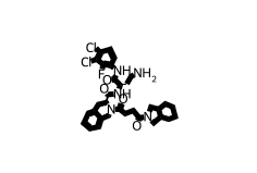 NCC[C@H](NC(=O)[C@@H]1Cc2ccccc2CN1C(=O)CCC(=O)N1CC2CCCCC2C1)C(=O)Nc1ccc(Cl)c(Cl)c1F